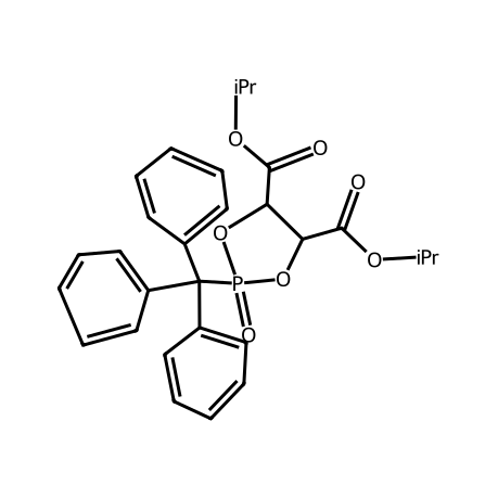 CC(C)OC(=O)C1OP(=O)(C(c2ccccc2)(c2ccccc2)c2ccccc2)OC1C(=O)OC(C)C